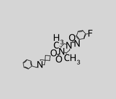 C[C@@H]1CN(c2nc3cc(F)ccc3o2)C[C@H](C)N1C(=O)OC1CC2(C1)CN(Cc1ccccc1)C2